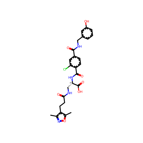 Cc1noc(C)c1CCC(=O)NC[C@H](NC(=O)c1ccc(C(=O)NCc2cccc(O)c2)cc1Cl)C(=O)O